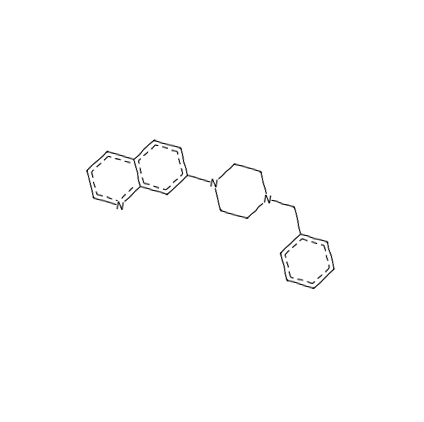 c1ccc(CN2CCN(c3ccc4cccnc4c3)CC2)cc1